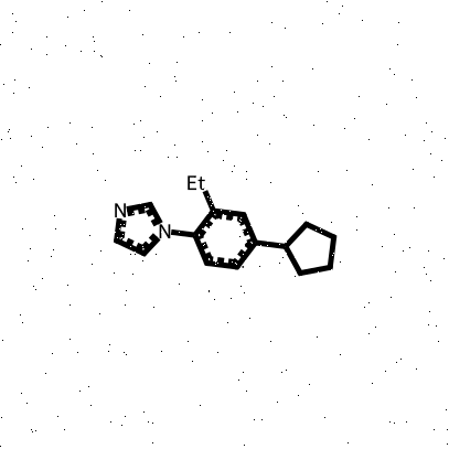 CCc1cc(C2CCCC2)[c]cc1-n1ccnc1